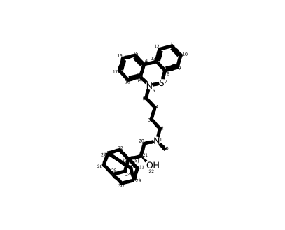 CN(CCCCN1Sc2ccccc2-c2ccccc21)C[C@@H](O)C12CC3CC(CC(C3)C1)C2